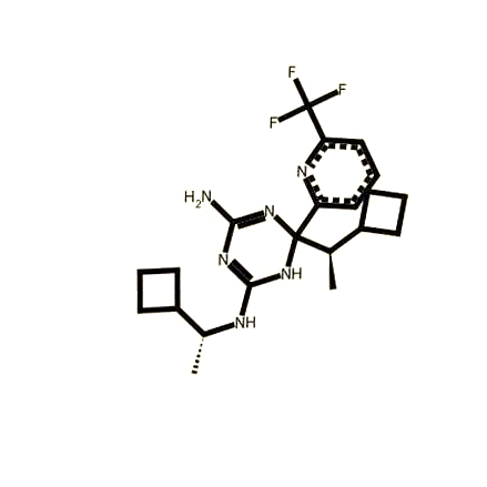 C[C@H](C1CCC1)C1(c2cccc(C(F)(F)F)n2)N=C(N)N=C(N[C@H](C)C2CCC2)N1